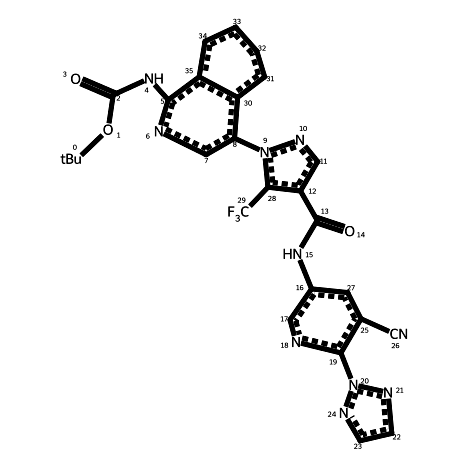 CC(C)(C)OC(=O)Nc1ncc(-n2ncc(C(=O)Nc3cnc(-n4nccn4)c(C#N)c3)c2C(F)(F)F)c2ccccc12